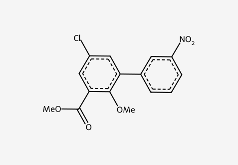 COC(=O)c1cc(Cl)cc(-c2cccc([N+](=O)[O-])c2)c1OC